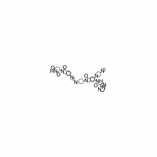 CN(C1CN(c2ccc3c(c2)CN(C2CCC(=O)NC2=O)C3=O)C1)[C@H]1CC[C@H](N2Cc3cc(NC(=O)c4cnn5cccnc45)c(N4CCC(N5CCC5)CC4)cc3C2=O)CC1